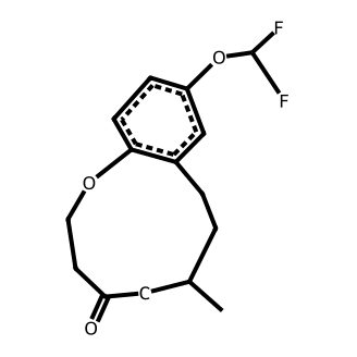 CC1CCc2cc(OC(F)F)ccc2OCCC(=O)C1